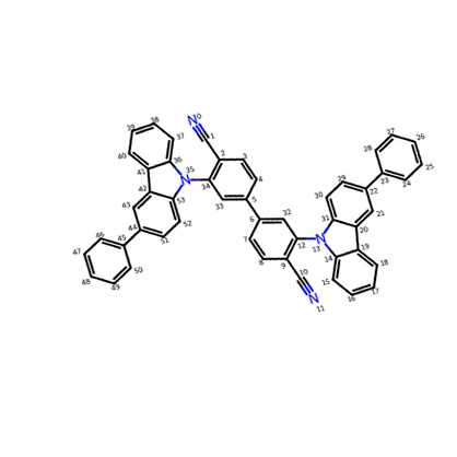 N#Cc1ccc(-c2ccc(C#N)c(-n3c4ccccc4c4cc(-c5ccccc5)ccc43)c2)cc1-n1c2ccccc2c2cc(-c3ccccc3)ccc21